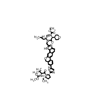 CCC[C@H](C)N(Cc1nc2ccc3cc4c(cc3c2[nH]1)OCc1cc(-c2cnc([C@@H]3CC[C@H](CC)N3C(=O)[C@@H](NC(=O)OC)C(C)C)[nH]2)ccc1-4)C(=O)[C@@H](NC(=O)OC)C1CCOCC1